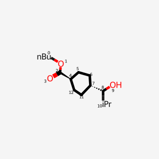 CCCCOC(=O)[C@H]1CC[C@H](C(O)C(C)C)CC1